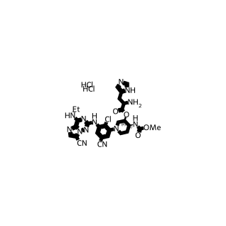 CCNc1nc(Nc2cc(C#N)cc(N3CC[C@@H](NC(=O)OC)[C@H](OC(=O)C(N)Cc4cnc[nH]4)C3)c2Cl)nn2c(C#N)cnc12.Cl.Cl